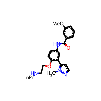 CCCNCCOc1ccc(NC(=O)c2cccc(OC)c2)cc1-c1ccnn1C